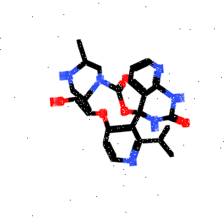 CC1CN(C(=O)OC2(c3c(OCCO)ccnc3C(C)C)NC(=O)Nc3ncccc32)C(C)CN1